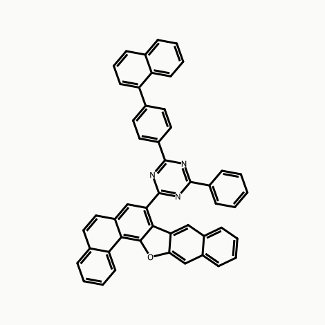 c1ccc(-c2nc(-c3ccc(-c4cccc5ccccc45)cc3)nc(-c3cc4ccc5ccccc5c4c4oc5cc6ccccc6cc5c34)n2)cc1